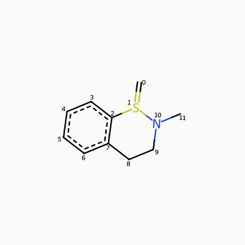 C=S1c2ccccc2CCN1C